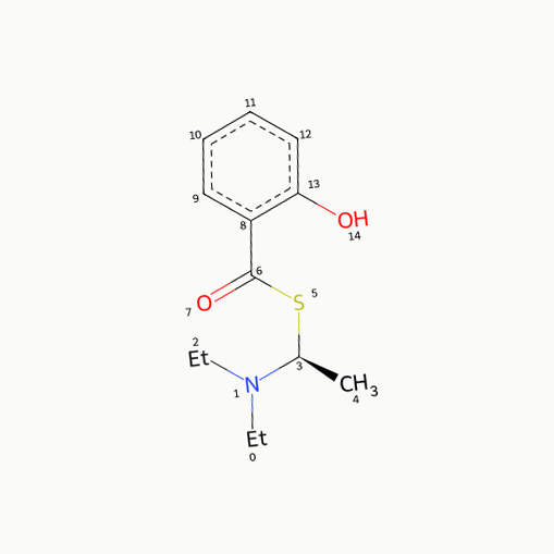 CCN(CC)[C@H](C)SC(=O)c1ccccc1O